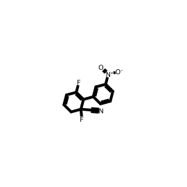 N#CC1(F)CC=CC(F)=C1c1cccc([N+](=O)[O-])c1